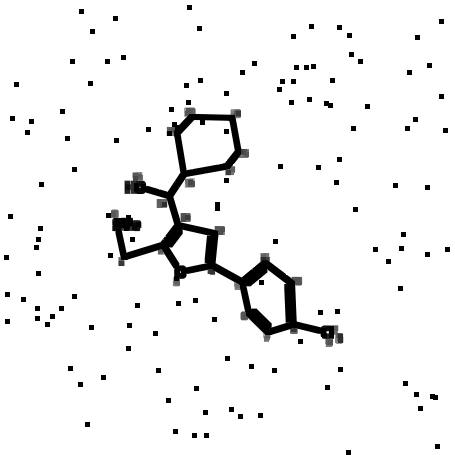 CSCc1oc(-c2ccc(C(F)(F)F)cc2)cc1C(O)C1CCCCC1